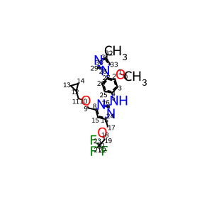 COc1cc(Nc2nc(COCC3CC3)cc(COCC(F)(F)F)n2)ccc1-n1cnc(C)c1